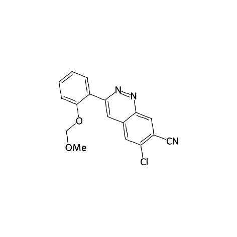 COCOc1ccccc1-c1cc2cc(Cl)c(C#N)cc2nn1